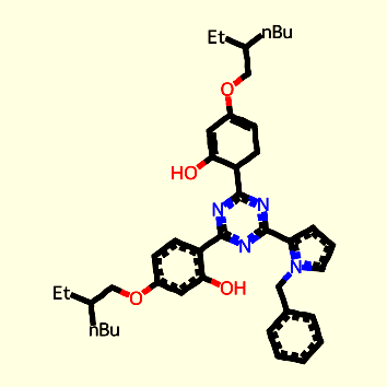 CCCCC(CC)COC1=CCC(c2nc(-c3ccc(OCC(CC)CCCC)cc3O)nc(-c3cccn3Cc3ccccc3)n2)C(O)=C1